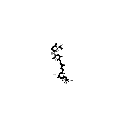 CC(=O)OC(C)/C=C\C(=O)NC1CC(C)C(C/C=C(C)/C=C/C2CC(C)(O)CC(O)(CC(=O)O)O2)OC1C